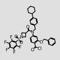 O=C(Cl)c1ccc(N(Cc2ccc(C3CCCCC3)cc2)C(=O)C2CN(S(=O)(=O)c3c(F)c(F)c(F)c(F)c3F)C2)cc1OCc1ccccc1